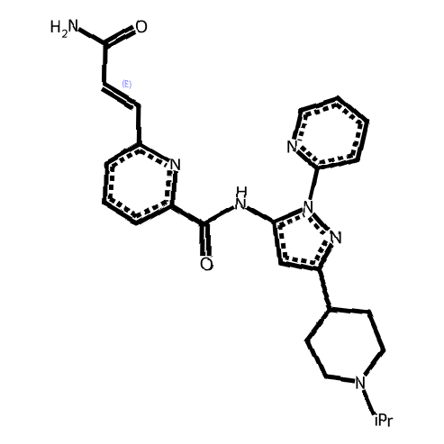 CC(C)N1CCC(c2cc(NC(=O)c3cccc(/C=C/C(N)=O)n3)n(-c3ccccn3)n2)CC1